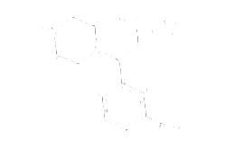 CCC(c1cccc(O)c1)N1CCNCC1.Cl.Cl